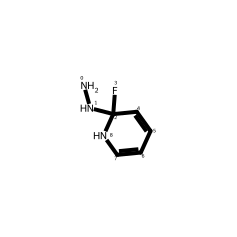 NNC1(F)C=CC=CN1